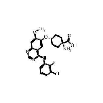 COc1cc2ncnc(Nc3cccc(Cl)c3F)c2cc1O[C@H]1CC[C@@](N)(C(=O)O)CC1